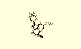 COC(C)Cn1c(C2CCC(F)(F)CC2)nc2ccc(Br)cc21